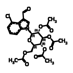 CC(=O)OC[C@H]1O[C@@H](n2cc(C=O)c3c(Cl)cccc32)[C@H](OC(C)=O)[C@@H](OC(C)=O)[C@@H]1OC(C)=O